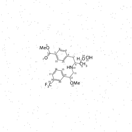 COC(=O)c1ccc(CC(C)NCC(OC)c2cccc(C(F)(F)F)c2)cc1.Cl.O